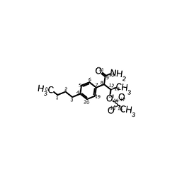 CCCCc1ccc(C(C(N)=O)[C@@H](C)OS(C)(=O)=O)cc1